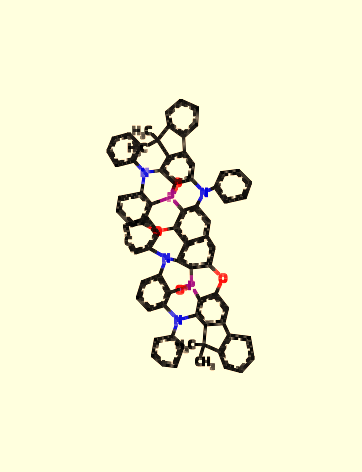 CC1(C)c2ccccc2-c2cc3c4c(c21)N(c1ccccc1)c1cccc2c1P4(=O)c1c(cc4cc5c6c(c4c1N2c1ccccc1)Oc1cccc2c1P6(=O)c1c(cc4c(c1N2c1ccccc1)C(C)(C)c1ccccc1-4)N5c1ccccc1)O3